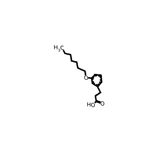 CCCCCCCOc1cccc(CCC(=O)O)c1